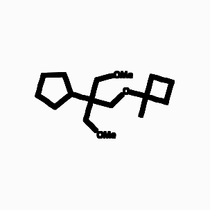 COCC(COC)(COC1(C)CCC1)C1CCCC1